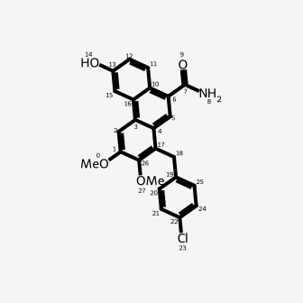 COc1cc2c(cc(C(N)=O)c3ccc(O)cc32)c(Cc2ccc(Cl)cc2)c1OC